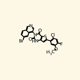 COc1cc(-c2cc3[nH]c(=O)n(-c4cncc5ccc(Br)cc45)c(=O)c3s2)c(Cl)cc1F